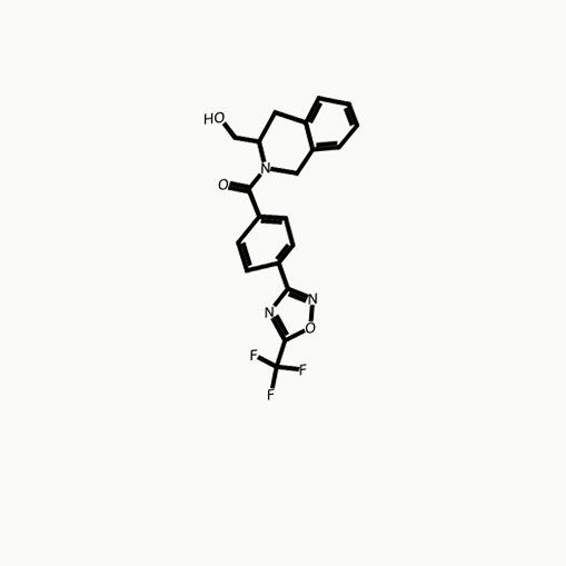 O=C(c1ccc(-c2noc(C(F)(F)F)n2)cc1)N1Cc2ccccc2CC1CO